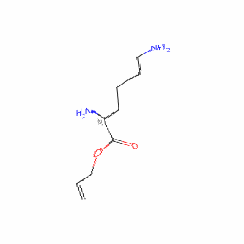 C=CCOC(=O)[C@@H](N)CCCCN